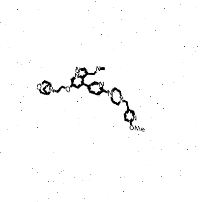 C=NCc1cnn2cc(OCCN3C4COCC3C4)cc(-c3ccc(N4CCN(Cc5ccc(OC)nc5)CC4)nc3)c12